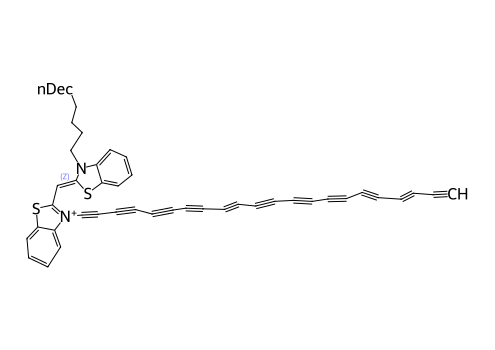 C#CC#CC#CC#CC#CC#CC#CC#CC#CC#CC#C[n+]1c(/C=C2\Sc3ccccc3N2CCCCCCCCCCCCCC)sc2ccccc21